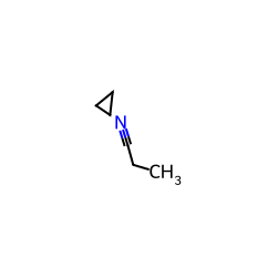 C1CC1.CCC#N